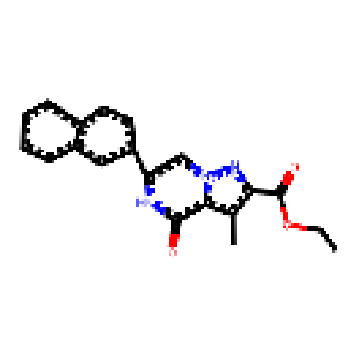 CCOC(=O)c1nn2cc(-c3ccc4ccccc4c3)[nH]c(=O)c2c1C